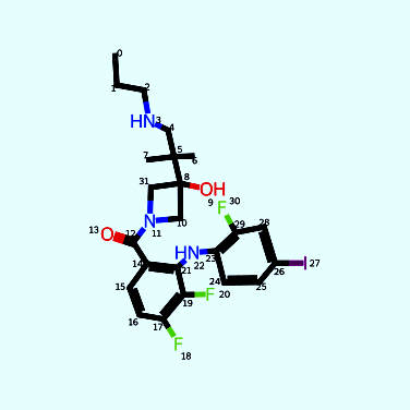 CCCNCC(C)(C)C1(O)CN(C(=O)c2ccc(F)c(F)c2Nc2ccc(I)cc2F)C1